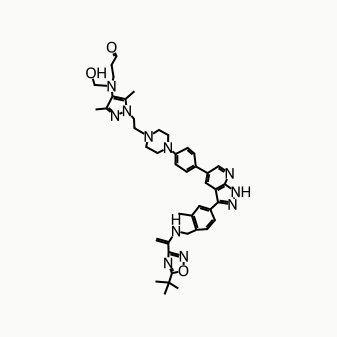 C=C(NCc1ccc(-c2n[nH]c3ncc(-c4ccc(N5CCN(CCn6nc(C)c(N(CO)CCC=O)c6C)CC5)cc4)cc23)cc1C)c1noc(C(C)(C)C)n1